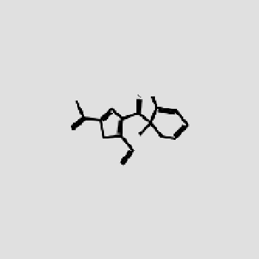 C=CC1=C(C(=S)C2(C)CC=CC=C2C)C=C(C(=C)C)C1